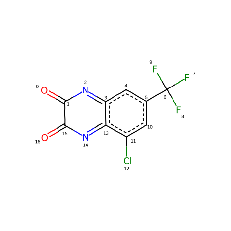 O=C1N=c2cc(C(F)(F)F)cc(Cl)c2=NC1=O